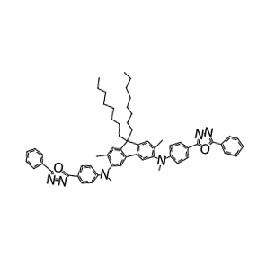 CCCCCCCCC1(CCCCCCCC)c2cc(C)c(N(C)c3ccc(-c4nnc(-c5ccccc5)o4)cc3)cc2-c2cc(N(C)c3ccc(-c4nnc(-c5ccccc5)o4)cc3)c(C)cc21